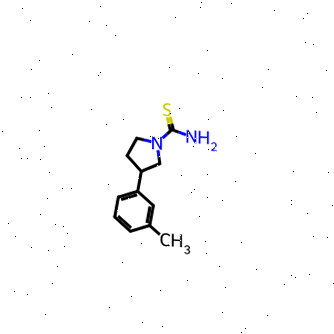 Cc1cccc(C2CCN(C(N)=S)C2)c1